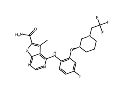 Cc1c(C(N)=O)sc2ncnc(Nc3ccc(F)cc3O[C@@H]3CCCN(CC(F)(F)F)C3)c12